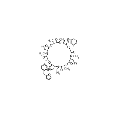 CC(C)C[C@H]1C(=O)O[C@H](Cc2ccc(Cc3ccco3)cc2)C(=O)N(C)[C@@H](CC(C)C)C(=O)O[C@H](C)C(=O)N(C)[C@@H](CC(C)C)C(=O)O[C@H](Cc2ccccc2)C(=O)N(C)[C@@H](CC(C)C)C(=O)O[C@H](C)C(=O)N1C